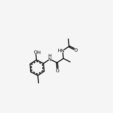 CC(=O)NC(C)C(=O)Nc1cc(C)ccc1O